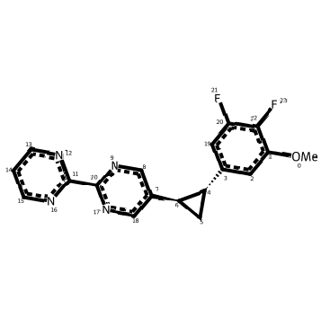 COc1cc([C@@H]2C[C@H]2c2cnc(-c3ncccn3)nc2)cc(F)c1F